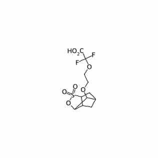 O=C(O)C(F)(F)OCCOC1C2CC3C1OS(=O)(=O)C3C2